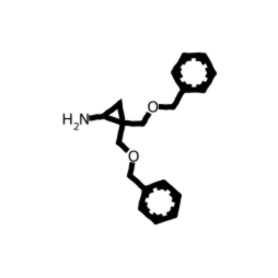 NC1CC1(COCc1ccccc1)COCc1ccccc1